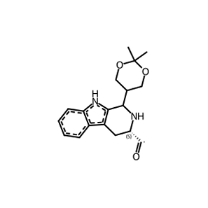 CC1(C)OCC(C2N[C@H]([C]=O)Cc3c2[nH]c2ccccc32)CO1